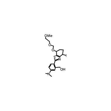 COCCOCOC1CCC(I)c2nc(-c3ccc(N(C)C)cc3CO)sc21